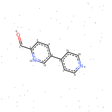 O=Cc1ccc(-c2ccncc2)cn1